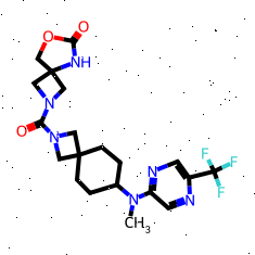 CN(c1cnc(C(F)(F)F)cn1)C1CCC2(CC1)CN(C(=O)N1CC3(COC(=O)N3)C1)C2